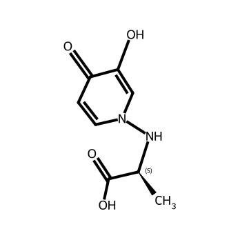 C[C@H](Nn1ccc(=O)c(O)c1)C(=O)O